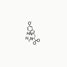 COC(=O)C(N)Cc1cc2cc(OC)ccc2[nH]1